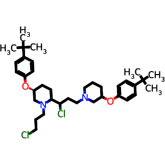 CC(C)(C)c1ccc(OC2CCCN(CCC(Cl)C3CC[C@H](Oc4ccc(C(C)(C)C)cc4)CN3CCCCl)C2)cc1